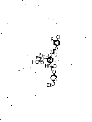 CCOc1ncc(OCC(=O)NC23CCC(NC(=O)COc4ccc(Cl)c(F)c4)(CC2)[C@@H](O)C3)cn1.O=C(O)C(F)(F)F